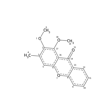 COc1c(C)cc2oc3ccccc3c(=O)c2c1OC